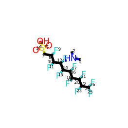 CNC.O=S(=O)(O)CC(F)C(F)C(F)C(F)C(F)C(F)C(F)C(F)C(F)F